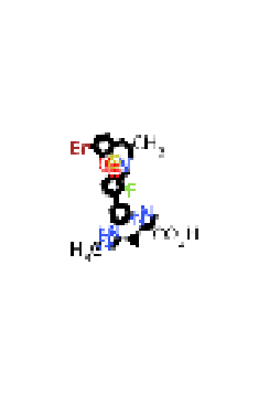 C[C@H]1Cc2ccc(Br)cc2S(=O)(=O)N(Cc2cccc(-c3cccc(-n4ncc(C(=O)O)c4[C@@H]4C[C@H]4c4cn(C)nn4)c3)c2F)C1